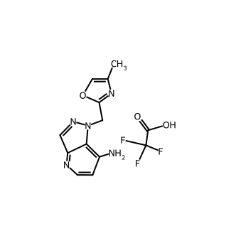 Cc1coc(Cn2ncc3nccc(N)c32)n1.O=C(O)C(F)(F)F